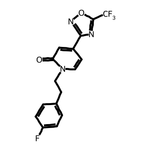 O=c1cc(-c2noc(C(F)(F)F)n2)ccn1CCc1ccc(F)cc1